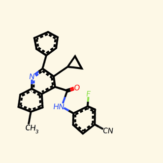 Cc1ccc2nc(-c3ccccc3)c(C3CC3)c(C(=O)Nc3ccc(C#N)cc3F)c2c1